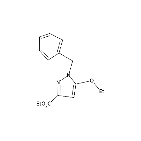 CCOC(=O)c1cc(OCC)n(Cc2ccccc2)n1